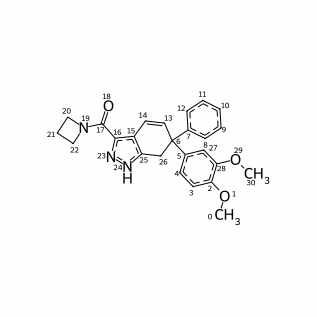 COc1ccc(C2(c3ccccc3)C=Cc3c(C(=O)N4CCC4)n[nH]c3C2)cc1OC